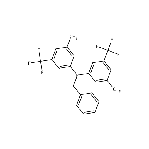 Cc1cc(P(Cc2ccccc2)c2cc(C)cc(C(F)(F)F)c2)cc(C(F)(F)F)c1